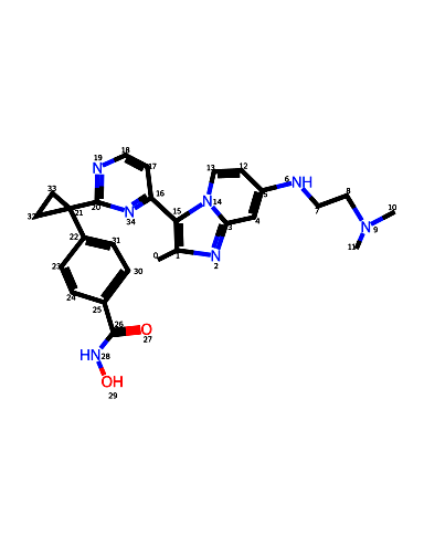 Cc1nc2cc(NCCN(C)C)ccn2c1-c1ccnc(C2(c3ccc(C(=O)NO)cc3)CC2)n1